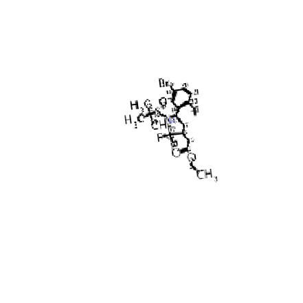 CCOC(=O)CC(C/C(=N/[S+]([O-])C(C)(C)C)c1cc(Br)ccc1F)C(F)(F)F